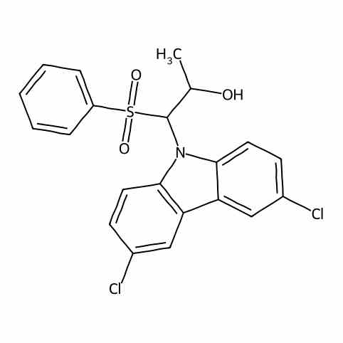 CC(O)C(n1c2ccc(Cl)cc2c2cc(Cl)ccc21)S(=O)(=O)c1ccccc1